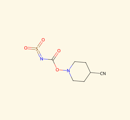 N#CC1CCN(OC(=O)N=S(=O)=O)CC1